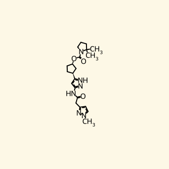 Cn1ccc(CC(=O)Nc2cc([C@H]3CC[C@@H](OC(=O)N4CCCC4(C)C)C3)[nH]n2)n1